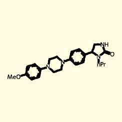 CCCN1C(=O)NCC1c1ccc(N2CCN(c3ccc(OC)cc3)CC2)cc1